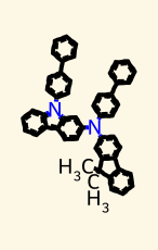 CC1(C)c2ccccc2-c2ccc(N(c3ccc(-c4ccccc4)cc3)c3ccc4c5ccccc5n(-c5ccc(-c6ccccc6)cc5)c4c3)cc21